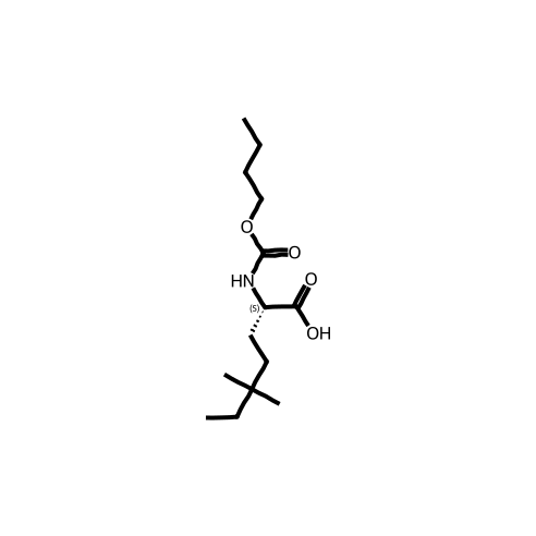 CCCCOC(=O)N[C@@H](CCC(C)(C)CC)C(=O)O